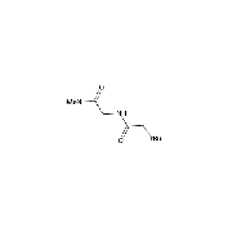 CNC(=O)CNC(=O)CC(C)(C)C